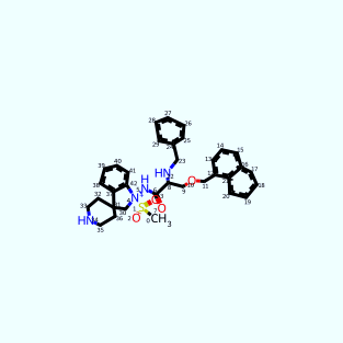 CS(=O)(=O)[N+]1(NC(=O)C(COCc2cccc3ccccc23)NCc2ccccc2)CC2(CCNCC2)c2ccccc21